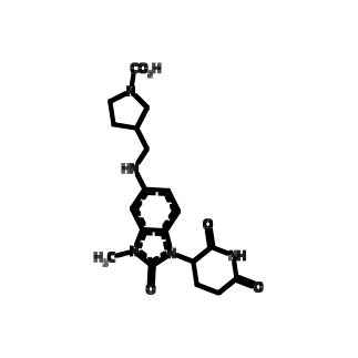 Cn1c(=O)n(C2CCC(=O)NC2=O)c2ccc(NCC3CCN(C(=O)O)C3)cc21